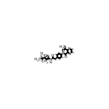 CC(C)(C)c1cc(NC(=O)Cc2ccc(NC(=O)c3nccnc3C(N)=O)cc2)no1